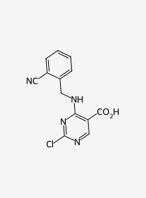 N#Cc1ccccc1CNc1nc(Cl)ncc1C(=O)O